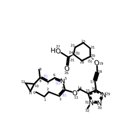 CCC\C=C(/N=C\C=C(/C)C1CC1)OCc1c(C#CO[C@H]2CCC[C@H](C(=O)O)C2)nnn1C